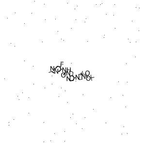 Cc1cn2cc(NC(=O)N3CCc4c(N5CCN(C(=O)OC(C)(C)C)[C@H](C)C5)ccnc43)c(F)cc2n1